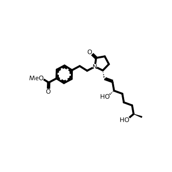 COC(=O)c1ccc(CCN2C(=O)CC[C@@H]2/C=C/[C@@H](O)CCC[C@@H](C)O)cc1